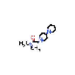 CN(C)C(=O)CN1CCC(N2CCCCC2)CC1